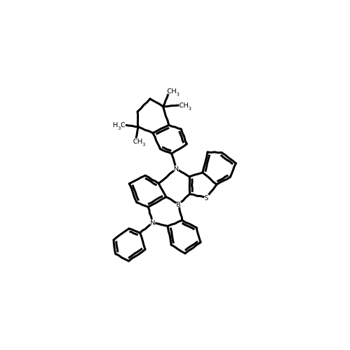 CC1(C)CCC(C)(C)c2cc(N3c4cccc5c4B(c4ccccc4N5c4ccccc4)c4sc5ccccc5c43)ccc21